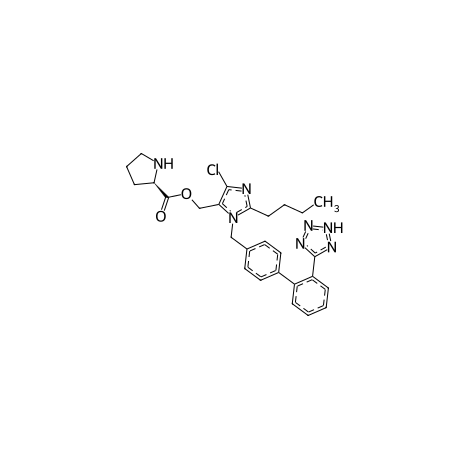 CCCCc1nc(Cl)c(COC(=O)[C@H]2CCCN2)n1Cc1ccc(-c2ccccc2-c2nn[nH]n2)cc1